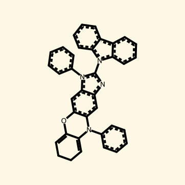 C1=C2Oc3cc4c(cc3N(c3ccccc3)C2=CCC1)nc(-n1c2ccccc2c2ccccc21)n4-c1ccccc1